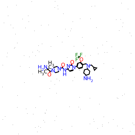 CC(C)(N)C(=O)N1CCN(C(=O)Nc2ccn(-c3ccc(CN(CC4CC4)C4CCC(N)CC4)c(OC(F)(F)F)c3)c(=O)n2)CC1